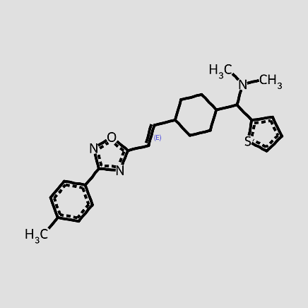 Cc1ccc(-c2noc(/C=C/C3CCC(C(c4cccs4)N(C)C)CC3)n2)cc1